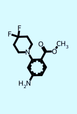 COC(=O)c1ccc(N)cc1N1CCC(F)(F)CC1